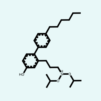 CCCCCCc1ccc(-c2ccc(O)cc2CCC[SiH](OC(C)C)OC(C)C)cc1